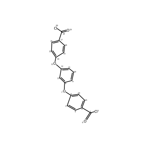 O=C(Cl)c1ccc(Oc2cccc(Oc3ccc(C(=O)Cl)cc3)c2)cc1